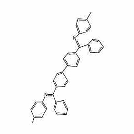 Cc1ccc(/N=C(\c2ccccc2)c2ccc(-c3ccc(/C(=N/c4ccc(C)cc4)c4ccccc4)cc3)cc2)cc1